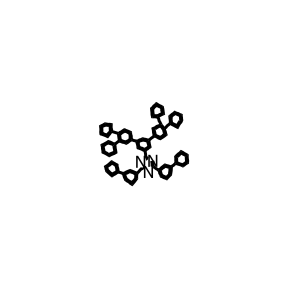 c1ccc(-c2cccc(-c3nc(-c4cccc(-c5ccccc5)c4)nc(-c4cc(-c5ccc(-c6ccccc6)c(-c6ccccc6)c5)cc(-c5ccc(-c6ccccc6)c(-c6ccccc6)c5)c4)n3)c2)cc1